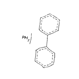 CC.P.c1ccc(-c2ccccc2)cc1